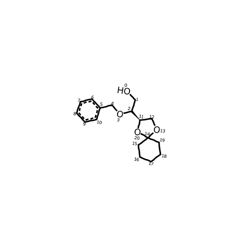 OCC(OCc1ccccc1)[C@H]1COC2(CCCCC2)O1